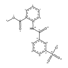 COC(=O)c1ccccc1NC(=O)c1cccc(S(=O)(=O)Cl)c1